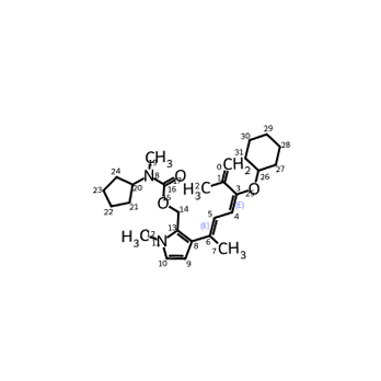 C=C(C)/C(=C\C=C(/C)c1ccn(C)c1COC(=O)N(C)C1CCCC1)OC1CCCCC1